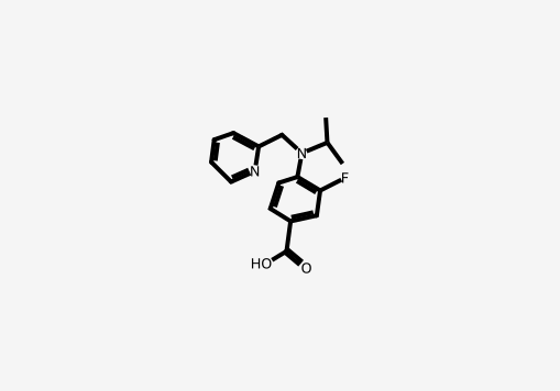 CC(C)N(Cc1ccccn1)c1ccc(C(=O)O)cc1F